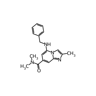 Cc1cn2c(NCc3ccccc3)cc(C(=O)N(C)C)cc2n1